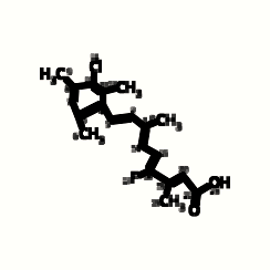 CC(C=Cc1c(C)cc(C)c(Cl)c1C)=CC=C(F)C(C)=CC(=O)O